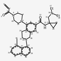 C=CC(=O)N1CCN(c2cc(C(=O)NC3(CN(CC)CC)CC3)nc3c2CCN(c2cccc4cccc(C)c24)C3)CC1